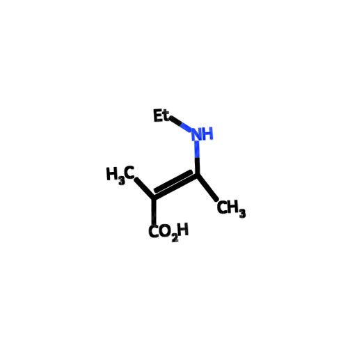 CCNC(C)=C(C)C(=O)O